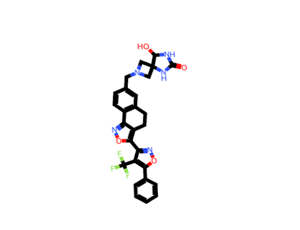 O=C1NC(O)C2(CN(Cc3ccc4c(c3)CCc3c-4noc3-c3noc(-c4ccccc4)c3C(F)(F)F)C2)N1